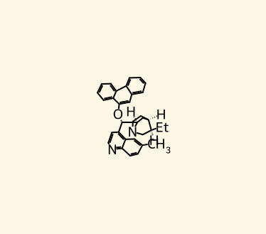 CC[C@H]1CN2CC[C@@H]1C[C@@H]2[C@@H](Oc1cc2ccccc2c2ccccc12)c1ccnc2ccc(C)cc12